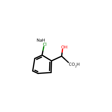 O=C(O)C(O)c1ccccc1Cl.[NaH]